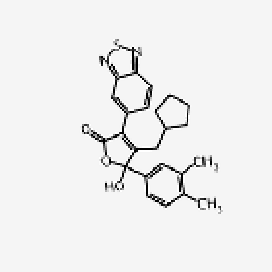 Cc1ccc(C2(O)OC(=O)C(c3ccc4nsnc4c3)=C2CC2CCCC2)cc1C